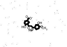 COc1ccc(C(=O)CC(=O)c2cc(C(=O)[O-])ccc2O)cc1O.[Na+]